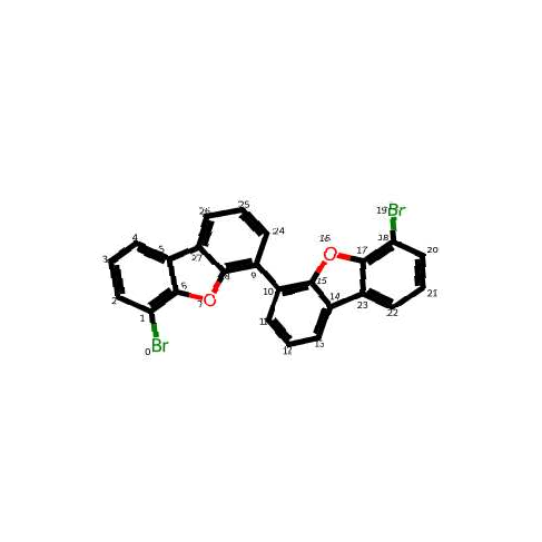 Brc1cccc2c1oc1c(-c3cccc4c3oc3c(Br)cccc34)cccc12